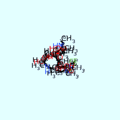 CCCNC[C@]1(O)[C@H](C)O[C@@H](O[C@H]2[C@H](C)[C@@H](O[C@@H]3O[C@H](C)C[C@H](N(C)S(=O)(=O)N(C)CC(F)(F)F)[C@H]3O)[C@](C)(O)C[C@@H](C)CN[C@H](C)[C@@H](O)[C@](C)(O)[C@@H](CC)OC(=O)[C@@H]2C)C[C@@]1(C)OC